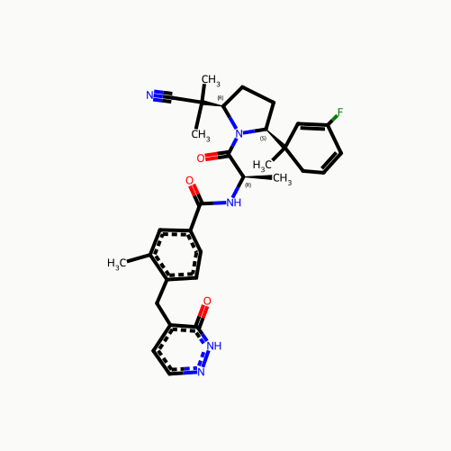 Cc1cc(C(=O)N[C@H](C)C(=O)N2[C@H](C3(C)C=C(F)C=CC3)CC[C@@H]2C(C)(C)C#N)ccc1Cc1ccn[nH]c1=O